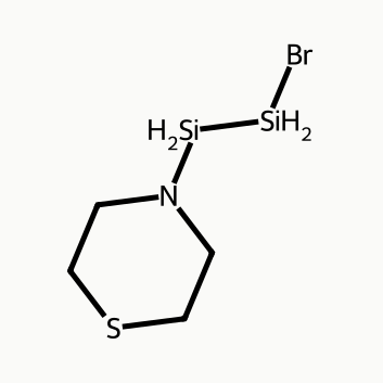 Br[SiH2][SiH2]N1CCSCC1